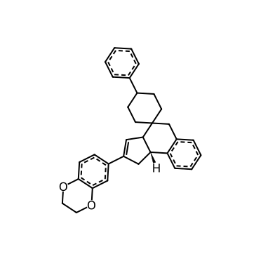 C1=C(c2ccc3c(c2)OCCO3)C[C@H]2c3ccccc3CC3(CCC(c4ccccc4)CC3)C12